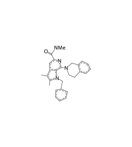 CNC(=O)c1cc2c(C)c(C)n(Cc3ccccc3)c2c(N2CCc3ccccc3C2)n1